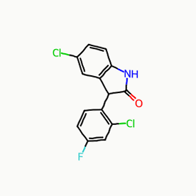 O=C1Nc2ccc(Cl)cc2C1c1ccc(F)cc1Cl